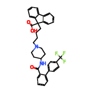 O=C(NC1CCN(CCCCC2(C(=O)O)c3ccccc3-c3ccccc32)CC1)c1ccccc1-c1ccc(C(F)(F)F)cc1